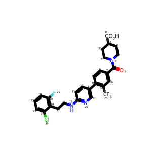 O=C(O)C1CCN(C(=O)c2ccc(-c3ccc(NCCc4c(F)cccc4Cl)nc3)c(C(F)(F)F)c2)CC1